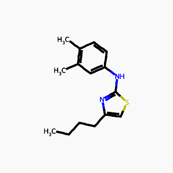 CCCCc1csc(Nc2ccc(C)c(C)c2)n1